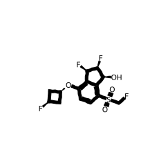 O=S(=O)(CF)c1ccc(O[C@H]2C[C@H](F)C2)c2c1[C@H](O)[C@H](F)[C@@H]2F